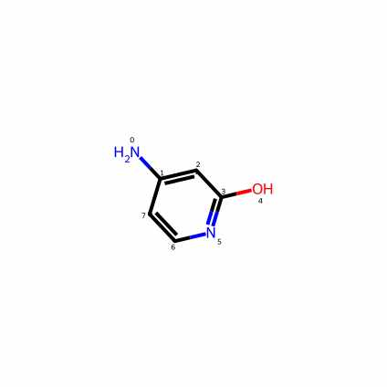 Nc1[c]c(O)ncc1